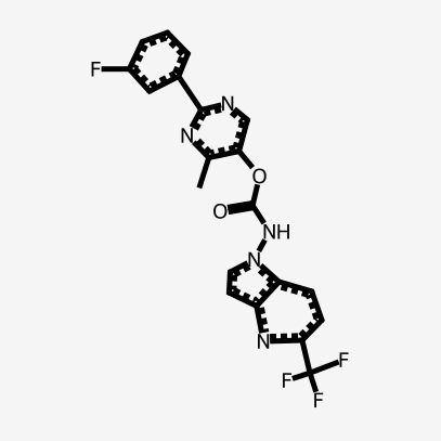 Cc1nc(-c2cccc(F)c2)ncc1OC(=O)Nn1ccc2nc(C(F)(F)F)ccc21